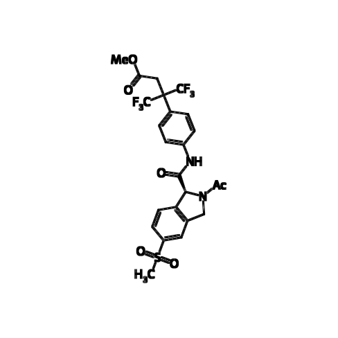 COC(=O)CC(c1ccc(NC(=O)[C@@H]2c3ccc(S(C)(=O)=O)cc3CN2C(C)=O)cc1)(C(F)(F)F)C(F)(F)F